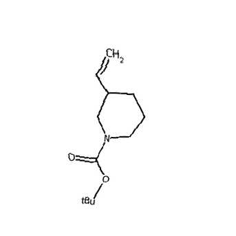 C=CC1CCCN(C(=O)OC(C)(C)C)C1